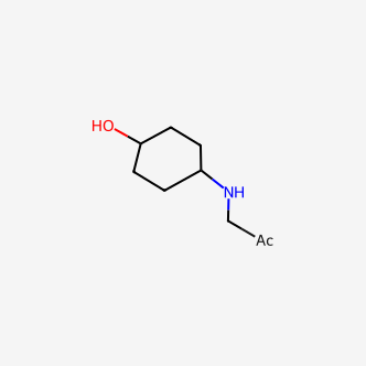 CC(=O)CNC1CCC(O)CC1